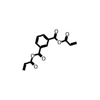 C=CC(=O)OC(=O)c1cccc(C(=O)OC(=O)C=C)c1